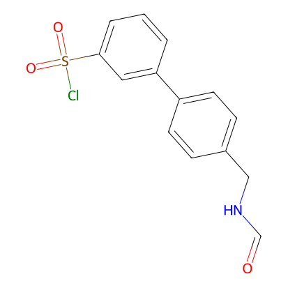 O=CNCc1ccc(-c2cccc(S(=O)(=O)Cl)c2)cc1